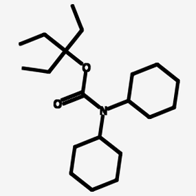 CCC(CC)(CC)OC(=O)N(C1CCCCC1)C1CCCCC1